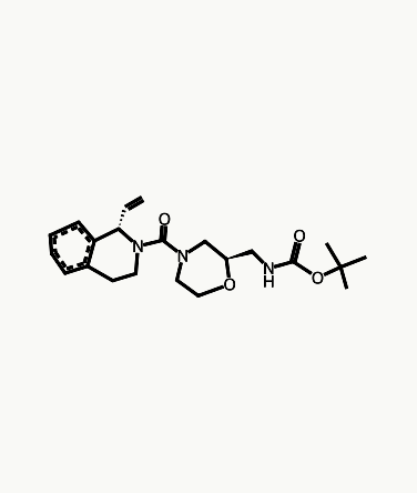 C=C[C@H]1c2ccccc2CCN1C(=O)N1CCO[C@H](CNC(=O)OC(C)(C)C)C1